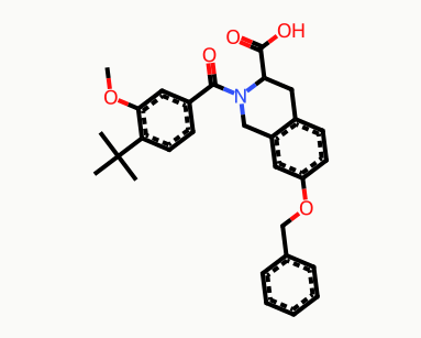 COc1cc(C(=O)N2Cc3cc(OCc4ccccc4)ccc3CC2C(=O)O)ccc1C(C)(C)C